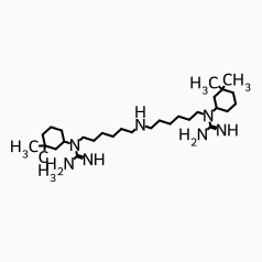 CC1(C)CCCC(N(CCCCCCNCCCCCCN(C(=N)N)C2CCCC(C)(C)C2)C(=N)N)C1